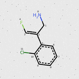 NCC(=CF)c1ccccc1Cl